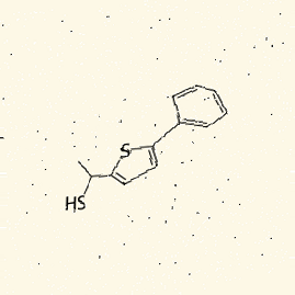 CC(S)c1ccc(-c2ccccc2)s1